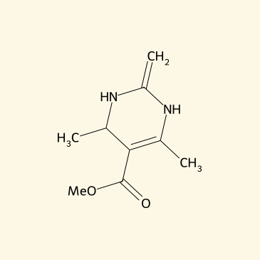 C=C1NC(C)=C(C(=O)OC)C(C)N1